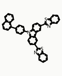 c1ccc2c(-c3ccc(-n4c5ccc(-c6nc7ccccc7s6)cc5c5cc(-c6nc7ccccc7s6)ccc54)cc3)cccc2c1